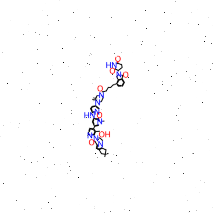 C[C@H]1CN(C(=O)CCCCc2cccc3c2CN(C2CCC(=O)NC2=O)C3=O)CCN1c1ccc(Nc2cc(-c3ccnc(N4CCn5c(cc6c5CC(C)(C)C6)C4=O)c3CO)cn(C)c2=O)nc1